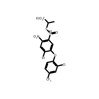 CCOC(=O)C(C)S[PH](=O)c1cc(Oc2ccc(C(F)(F)F)cc2Cl)c(CC)cc1[N+](=O)[O-]